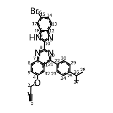 C#CCOc1ccc2nc(-c3nc4ccc(Br)cc4[nH]3)nc(-c3ccc(C(C)C)cc3)c2c1